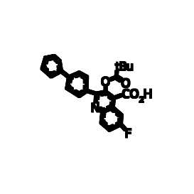 CC(C)(C)C(=O)Oc1c(-c2ccc(-c3ccccc3)cc2)nc2ccc(F)cc2c1C(=O)O